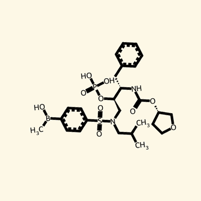 CB(O)c1ccc(S(=O)(=O)N(CC(C)C)C[C@@H](OP(=O)(O)O)[C@H](Cc2ccccc2)NC(=O)O[C@H]2CCOC2)cc1